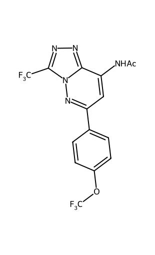 CC(=O)Nc1cc(-c2ccc(OC(F)(F)F)cc2)nn2c(C(F)(F)F)nnc12